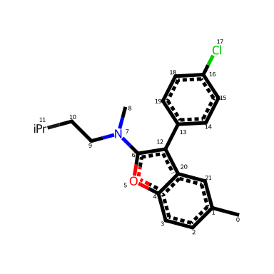 Cc1ccc2oc(N(C)CCC(C)C)c(-c3ccc(Cl)cc3)c2c1